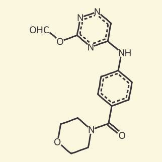 O=COc1nncc(Nc2ccc(C(=O)N3CCOCC3)cc2)n1